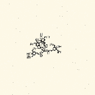 CC(C)Cc1cc(CCC(=O)OCC(COC(=O)CCc2cc(CC(C)C)c(O)c(CC(C)C)c2)(COC(=O)CCc2cc(CC(C)C)c(O)c(CC(C)C)c2)COC(=O)CCc2cc(CC(C)C)c(O)c(CC(C)C)c2)cc(CC(C)C)c1O